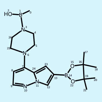 CB(O)N1CCN(c2ccnn3cc(B4OC(C)(C)C(C)(C)O4)cc23)CC1